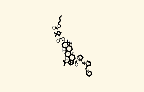 C=C(C)[C@@H]1CC[C@]2(C(=O)N3CCC[C@H]3Cn3cccc3CN3CCCC3)CC[C@]3(C)[C@H](CC[C@@H]4[C@@]5(C)CC[C@H](OC(=O)[C@H]6C[C@@H](C(=O)OCCCC)C6(C)C)C(C)(C)[C@@H]5CC[C@]43C)[C@@H]12